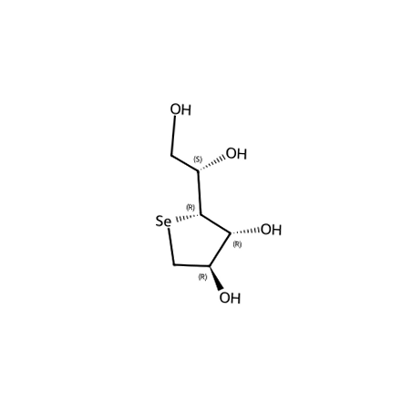 OC[C@H](O)[C@H]1[Se]C[C@H](O)[C@H]1O